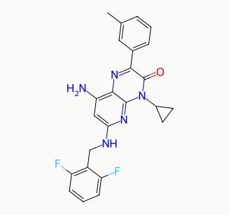 Cc1cccc(-c2nc3c(N)cc(NCc4c(F)cccc4F)nc3n(C3CC3)c2=O)c1